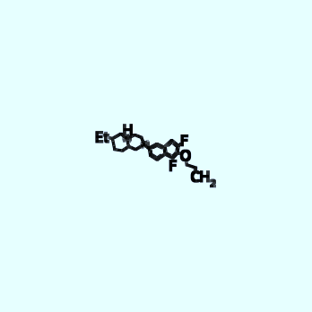 C=CCOc1c(F)cc2cc([C@@H]3CC[C@@H]4CC(CC)CCC4C3)ccc2c1F